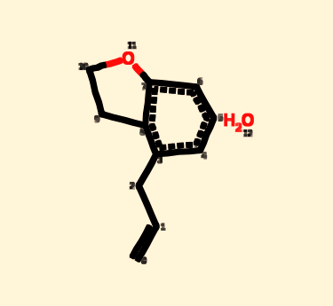 C=CCc1cccc2c1CCO2.O